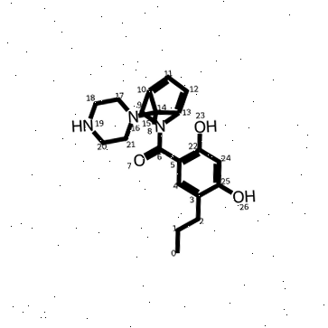 CCCc1cc(C(=O)N2CC3=CC=C2C3(C)N2CCNCC2)c(O)cc1O